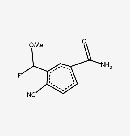 COC(F)c1cc(C(N)=O)ccc1C#N